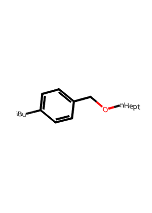 CCCCCCCOCc1ccc(C(C)CC)cc1